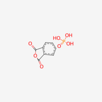 O=C1OC(=O)c2ccccc21.O=P(O)(O)O